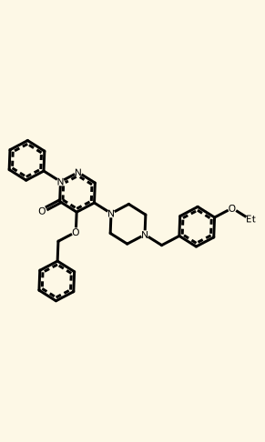 CCOc1ccc(CN2CCN(c3cnn(-c4ccccc4)c(=O)c3OCc3ccccc3)CC2)cc1